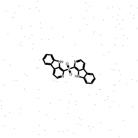 O=S(=O)(c1nccc2c1[nH]c1ccccc12)c1nccc2c1[nH]c1ccccc12